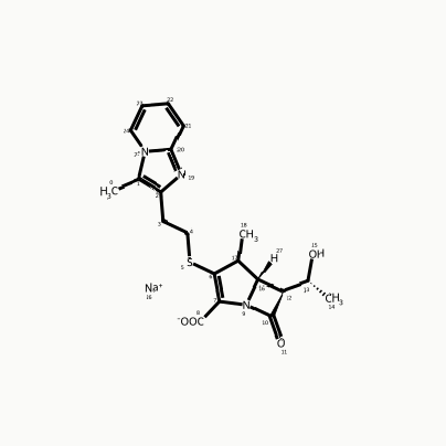 Cc1c(CCSC2=C(C(=O)[O-])N3C(=O)[C@H]([C@@H](C)O)[C@H]3C2C)nc2ccccn12.[Na+]